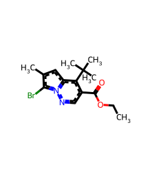 CCOC(=O)c1cnn2c(Br)c(C)cc2c1C(C)(C)C